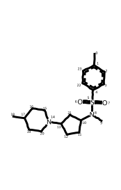 Cc1ccc(S(=O)(=O)N(C)C2CCC(N3CCC(C)CC3)C2)cc1